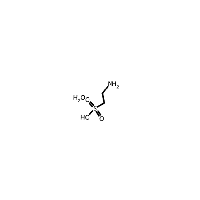 NCCS(=O)(=O)O.O